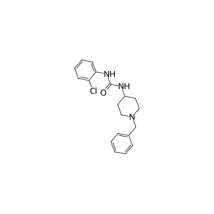 O=C(Nc1ccccc1Cl)NC1CCN(Cc2ccccc2)CC1